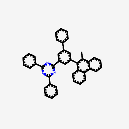 Cc1c(-c2cc(-c3ccccc3)cc(-c3nc(-c4ccccc4)nc(-c4ccccc4)n3)c2)c2ccccc2c2ccccc12